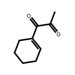 CC(=O)C(=O)C1=CCCCC1